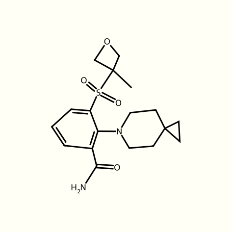 CC1(S(=O)(=O)c2cccc(C(N)=O)c2N2CCC3(CC2)CC3)COC1